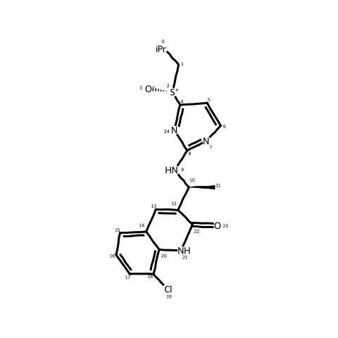 CC(C)C[S@@+]([O-])c1ccnc(N[C@@H](C)c2cc3cccc(Cl)c3[nH]c2=O)n1